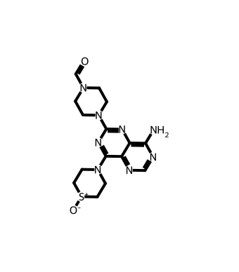 Nc1ncnc2c(N3CC[S+]([O-])CC3)nc(N3CCN(C=O)CC3)nc12